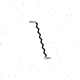 CCCCCCCCCCCCCCCCCCCCC[CH]OC